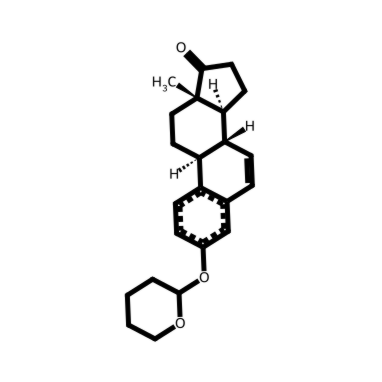 C[C@]12CC[C@@H]3c4ccc(OC5CCCCO5)cc4C=C[C@H]3[C@@H]1CCC2=O